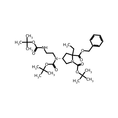 CCC1(C(=O)OCc2ccccc2)C[C@@H](N(CCNC(=O)OC(C)(C)C)C(=O)OC(C)(C)C)CN1C(=O)OC(C)(C)C